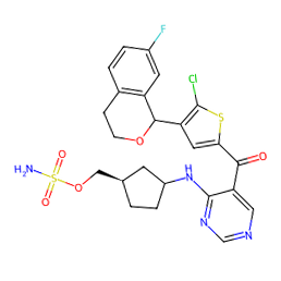 NS(=O)(=O)OC[C@@H]1CCC(Nc2ncncc2C(=O)c2cc(C3OCCc4ccc(F)cc43)c(Cl)s2)C1